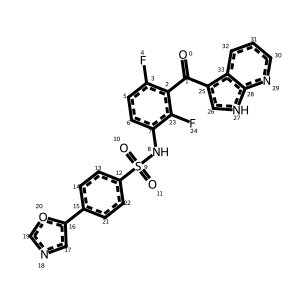 O=C(c1c(F)ccc(NS(=O)(=O)c2ccc(-c3cnco3)cc2)c1F)c1c[nH]c2ncccc12